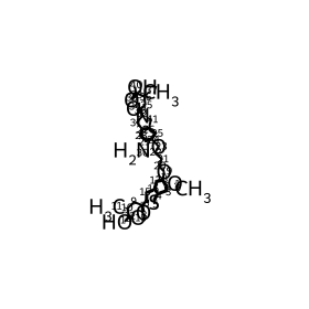 COc1cc2sc(C(=O)C[C@H](C)C(=O)O)cc2cc1OCCCOc1cc2c(cc1N)CN(C(=O)C[C@H](C)C(=O)O)C2